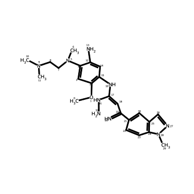 COc1cc(N(C)CCN(C)C)c(N)cc1N/C(=C/C(=N)c1ccc2c(cnn2C)c1)NN